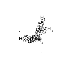 CNC(=O)c1c(-c2ccc(C)cc2)oc2nc(N(CCCC3(C(=O)O)CCNCC3)S(C)(=O)=O)c(C3CC3)cc12